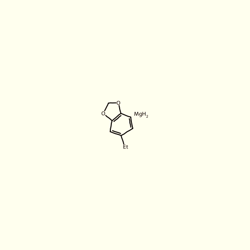 [CH2]Cc1ccc2c(c1)OCO2.[MgH2]